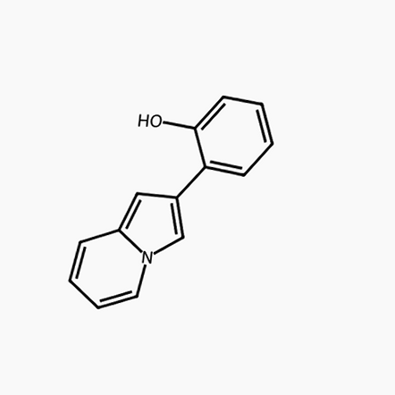 Oc1ccccc1-c1cc2ccccn2c1